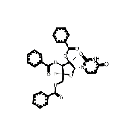 C[C@]1(OC(=O)c2ccccc2)[C@H](n2ccc(=O)[nH]c2=O)O[C@](F)(COC(=O)c2ccccc2)[C@H]1OC(=O)c1ccccc1